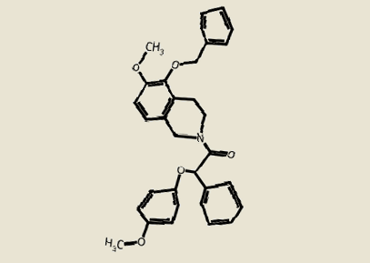 COc1ccc(OC(C(=O)N2CCc3c(ccc(OC)c3OCc3ccccc3)C2)c2ccccc2)cc1